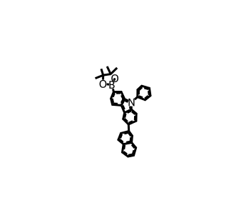 CC1(C)OB(c2ccc3c4cc(-c5ccc6ccccc6c5)ccc4n(-c4ccccc4)c3c2)OC1(C)C